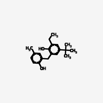 CCc1cc(C(C)(C)C)cc(Cc2cc(C)ccc2O)c1O